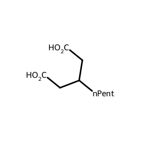 CCCCCC(CC(=O)O)CC(=O)O